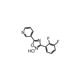 Cl.Fc1cccc(-c2noc(-c3cccnc3)n2)c1F